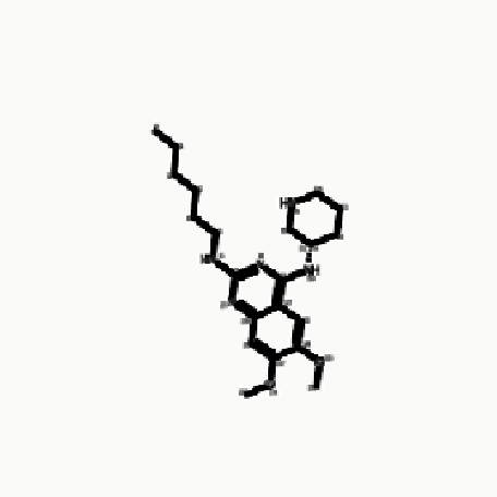 CCCCCCNc1nc(N[C@H]2CCCNC2)c2cc(OC)c(OC)cc2n1